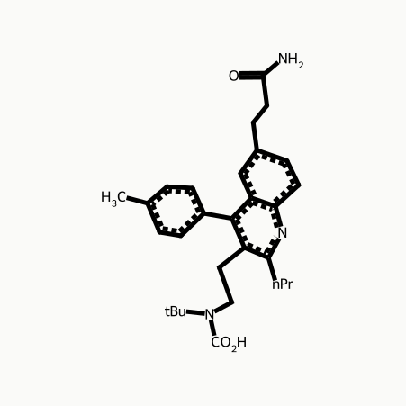 CCCc1nc2ccc(CCC(N)=O)cc2c(-c2ccc(C)cc2)c1CCN(C(=O)O)C(C)(C)C